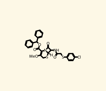 COC1=C(C(=O)OC(c2ccccc2)c2ccccc2)N2C(=O)C(NC(=O)CSc3ccc(Cl)cc3)[C@@H]2SC1